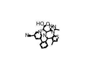 Cc1csc2c1C(c1ccccc1-c1cncc(C#N)c1)=NC([C@H](C)C(=O)O)c1nnc(C)n1-2